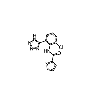 O=C(Nc1c(Cl)cccc1-c1nnn[nH]1)c1cccs1